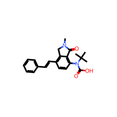 CN1Cc2c(C=Cc3ccccc3)ccc(N(C(=O)O)C(C)(C)C)c2C1=O